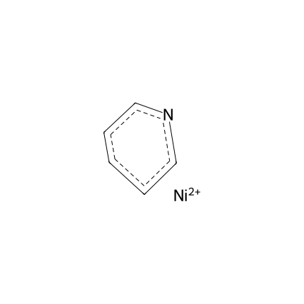 [Ni+2].c1ccncc1